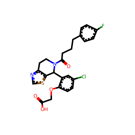 O=C(O)COc1ccc(Cl)cc1C1c2scnc2CCN1C(=O)CCCc1ccc(F)cc1